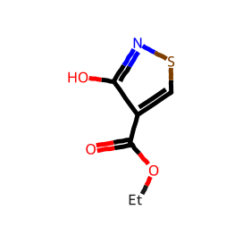 CCOC(=O)c1csnc1O